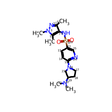 Cc1nn(C)c(C)c1NS(=O)(=O)c1ccc(N2CCC(N(C)C)C2)nc1